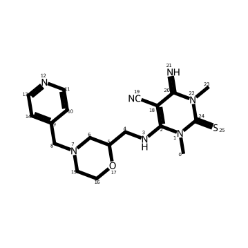 Cn1c(NCC2CN(Cc3ccncc3)CCO2)c(C#N)c(=N)n(C)c1=S